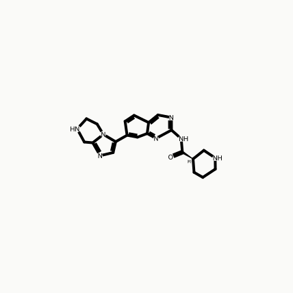 O=C(Nc1ncc2ccc(-c3cnc4n3CCNC4)cc2n1)[C@@H]1CCCNC1